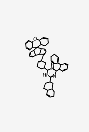 C1=CC2OC3C=CCCC3C3(C2C=C1)C1C=CC=CC1C1C(C2=CCCC(C4NC(C5CCC6C=CCCC6C5)=NC(C5C=CC=CC5C5=CCCC=C5)N4)C2)=CC=CC13